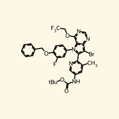 Cc1cc(NC(=O)OC(C)(C)C)cnc1-c1c(Br)c2ncnc(OCC(F)(F)F)c2n1-c1ccc(OCc2ccccc2)c(F)c1